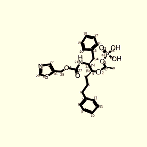 C[C@@H](O[C@@H](C[CH]Cc1ccccc1)[C@H](Cc1ccccc1)NC(=O)OCc1cncs1)OP(=O)(O)O